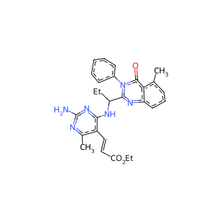 CCOC(=O)/C=C/c1c(C)nc(N)nc1NC(CC)c1nc2cccc(C)c2c(=O)n1-c1ccccc1